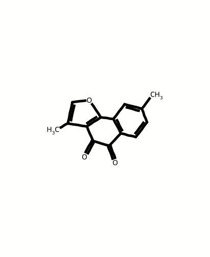 Cc1ccc2c(c1)-c1occ(C)c1C(=O)C2=O